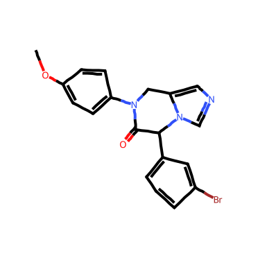 COc1ccc(N2Cc3cncn3C(c3cccc(Br)c3)C2=O)cc1